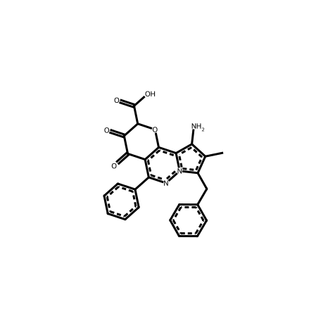 Cc1c(N)c2c3c(c(-c4ccccc4)nn2c1Cc1ccccc1)C(=O)C(=O)C(C(=O)O)O3